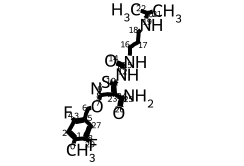 Cc1cc(F)c(COc2nsc(NC(=O)NCCCNC(C)C)c2C(N)=O)cc1F